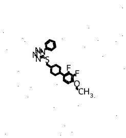 CCOc1ccc(C2CCC(CSc3nnnn3-c3ccccc3)CC2)c(F)c1F